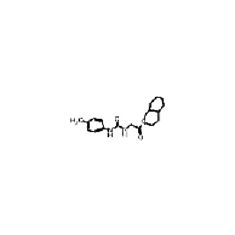 Cc1ccc(NC(=O)NCC(=O)N2CCC3CCCCC3C2)cc1